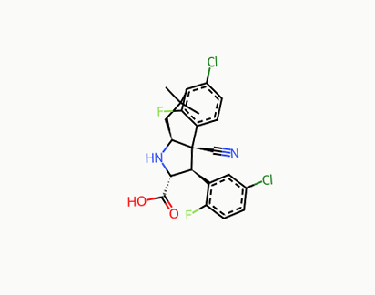 CC(C)(C)C[C@@H]1N[C@@H](C(=O)O)[C@H](c2cc(Cl)ccc2F)[C@@]1(C#N)c1ccc(Cl)cc1F